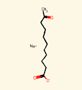 CC(=O)CCCCCCCCC(=O)[O-].[Na+]